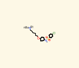 CCCCN(CC)CCCCCCOc1ccc(N(C)S(=O)(=O)c2ccc(Cl)cc2)cc1